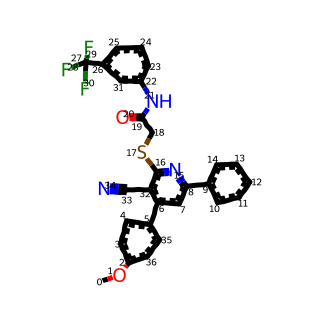 COc1ccc(-c2cc(-c3ccccc3)nc(SCC(=O)Nc3cccc(C(F)(F)F)c3)c2C#N)cc1